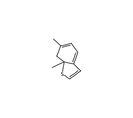 CC1=CC=C2C=CSC2(C)C1